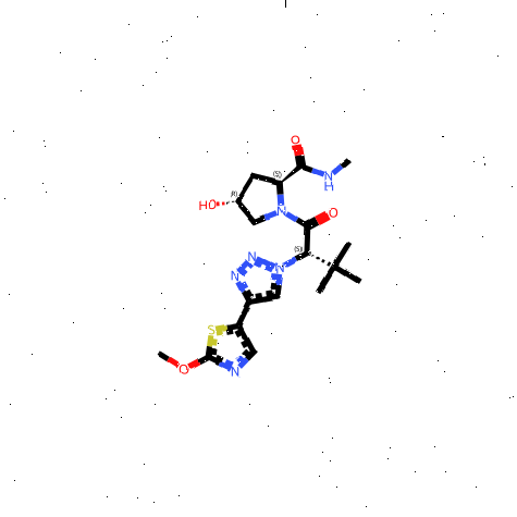 CNC(=O)[C@@H]1C[C@@H](O)CN1C(=O)[C@@H](n1cc(-c2cnc(OC)s2)nn1)C(C)(C)C